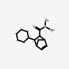 CC(C)(C)N(C(=O)C1C2C=CC(C2)C1C1CCCCC1)C(C)(C)C